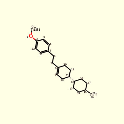 CCCCOc1ccc(CCC2=CCC([C@H]3CC[C@H](CCC)CC3)CC2)cc1